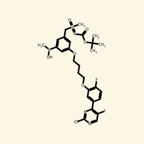 CN(O)c1cc(CS(C)(=O)=NC(=O)OC(C)(C)C)cc(OCCCCOc2cc(-c3nc(Cl)ncc3F)ccc2F)c1